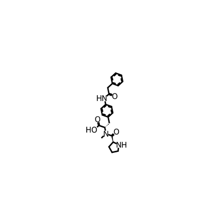 CN(C(=O)[C@@H]1CCCN1)[C@@H](Cc1ccc(NC(=O)Cc2ccccc2)cc1)C(=O)O